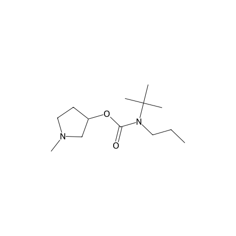 CCCN(C(=O)OC1CCN(C)C1)C(C)(C)C